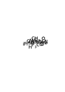 Cc1nc(NC(=O)C(C)C)sc1C(=O)NCC(C(=O)N[C@@H]1C(=O)N2CCCN2Cc2ccccc21)C(F)(F)F